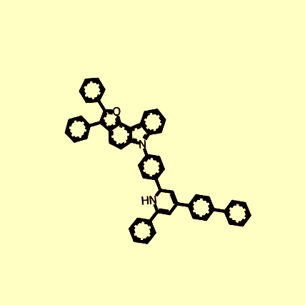 C1=C(c2ccc(-c3ccccc3)cc2)C=C(c2ccccc2)NC1c1ccc(-n2c3ccccc3c3c4oc(-c5ccccc5)c(-c5ccccc5)c4ccc32)cc1